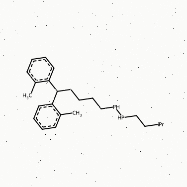 Cc1ccccc1C(CCCCPPCCC(C)C)c1ccccc1C